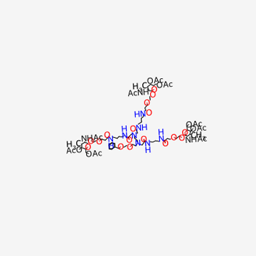 CC(=O)NC1C(OCCOCCC(=O)NCCCCNC(=O)CN(CCOCCOCc2ccccc2)CCN(CC(=O)NCCCCNC(=O)CCOCCOC2OC(COC(C)=O)C(OC(C)=O)C(C)C2NC(C)=O)CC(=O)NCCCCNC(=O)CCOCCOC2OC(COC(C)=O)C(OC(C)=O)C(C)C2NC(C)=O)OC(COC(C)=O)C(OC(C)=O)C1C